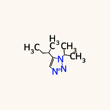 CCC(C)c1cnnn1C(C)C